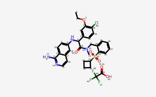 CCOc1cc(C(Nc2ccc3c(N)nccc3c2)C(=O)N(C)Cc2ccccc2S(=O)(=O)C2CCC2)ccc1Cl.O=C(O)C(F)(F)F